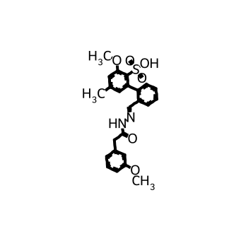 COc1cccc(CC(=O)N/N=C/c2ccccc2-c2cc(C)cc(OC)c2S(=O)(=O)O)c1